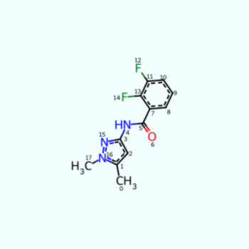 Cc1cc(NC(=O)c2cccc(F)c2F)nn1C